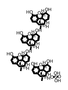 CN1CC[C@]23c4c5ccc(O)c4O[C@H]2[C@@H](O)C=C[C@H]3[C@H]1C5.CN1CC[C@]23c4c5ccc(O)c4O[C@H]2[C@@H](O)C=C[C@H]3[C@H]1C5.CN1CC[C@]23c4c5ccc(O)c4O[C@H]2[C@@H](O)C=C[C@H]3[C@H]1C5.CN1CC[C@]23c4c5ccc(O)c4O[C@H]2[C@@H](O)C=C[C@H]3[C@H]1C5.O=S(=O)(O)O